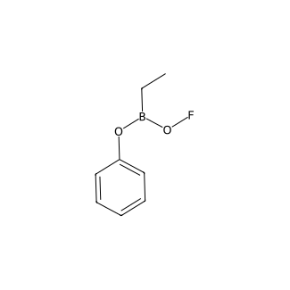 CCB(OF)Oc1ccccc1